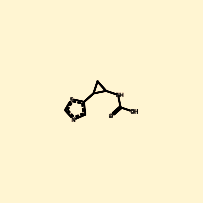 O=C(O)NC1CC1c1cncs1